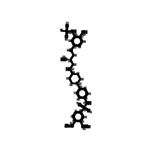 COc1ccc(S(=O)(=O)Nc2ccc(N3CCC(NC[C@H](O)COc4ccc(O)c(NS(C)(=O)=O)c4)CC3)cc2)cc1OC